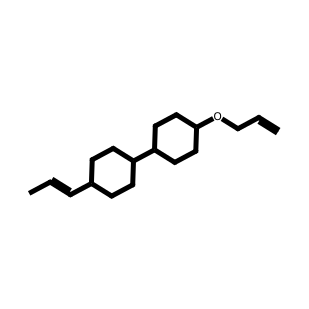 C=CCOC1CCC(C2CCC(C=CC)CC2)CC1